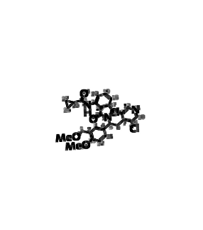 COCc1cc(C(Cc2c(Cl)cncc2Cl)N2Cc3cccc(NC(=O)C4CC4)c3C2=O)ccc1OC